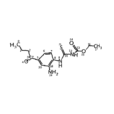 CCC[S+]([O-])c1ccc(NC(=S)NC(=O)OCC)c(N)c1